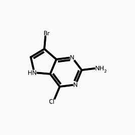 Nc1nc(Cl)c2[nH]cc(Br)c2n1